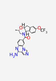 C[C@@H]1CN(C(=O)c2ccc3nc(N)c4cncn4c3c2)[C@H]2c3ccc(OC(F)(F)F)cc3C[C@H]2O1